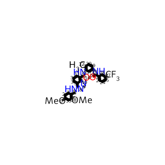 COc1ccc(CNc2ncnc3c(C(=O)Nc4cc(NC(=O)c5cccc(C(F)(F)F)c5)ccc4C)cccc23)c(OC)c1